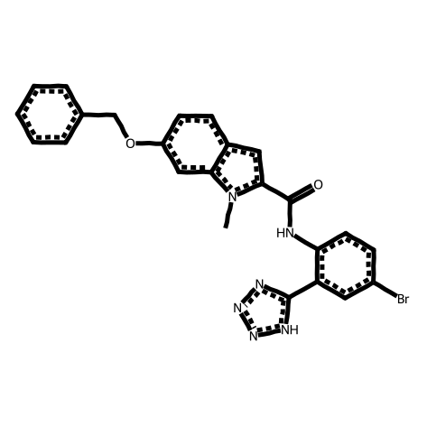 Cn1c(C(=O)Nc2ccc(Br)cc2-c2nnn[nH]2)cc2ccc(OCc3ccccc3)cc21